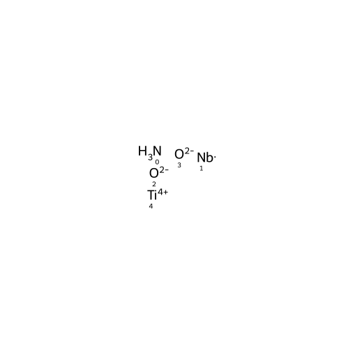 N.[Nb].[O-2].[O-2].[Ti+4]